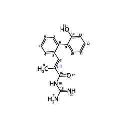 C/C(=C\c1ccccc1-c1ccccc1O)C(=O)NC(=N)N